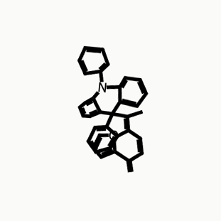 C=C(/C=C\C1=C(C)C2(c3ccccc31)c1ccccc1N(c1ccccc1)c1ccccc12)c1ccco1